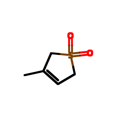 CC1=CCS(=O)(=O)C1